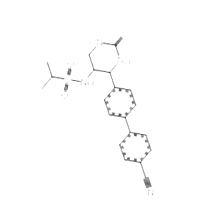 CC(C)S(=O)(=O)NC1CNC(=O)NC1c1ccc(-c2ccc(C#N)cc2)cc1